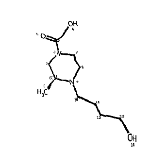 C[C@H]1CN(C(=O)O)CCN1CCCCO